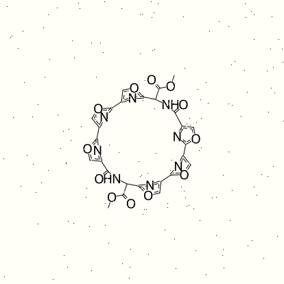 COC(=O)C1NC(=O)c2coc(n2)-c2coc(n2)-c2coc(n2)C(C(=O)OC)NC(=O)c2coc(n2)-c2coc(n2)-c2coc1n2